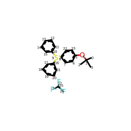 CC(C)(C)Oc1ccc([S+](c2ccccc2)c2ccccc2)cc1.FC(F)F